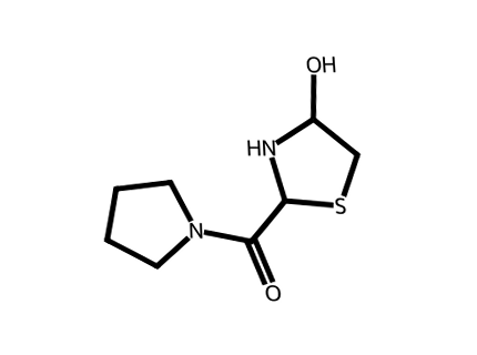 O=C(C1NC(O)CS1)N1CCCC1